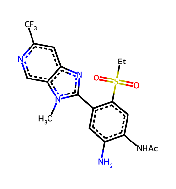 CCS(=O)(=O)c1cc(NC(C)=O)c(N)cc1-c1nc2cc(C(F)(F)F)ncc2n1C